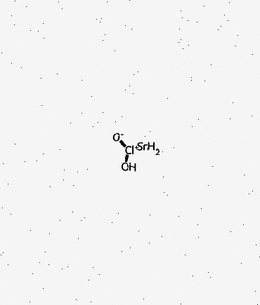 [O-][Cl+]O.[SrH2]